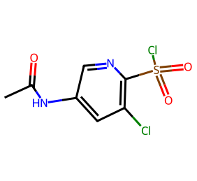 CC(=O)Nc1cnc(S(=O)(=O)Cl)c(Cl)c1